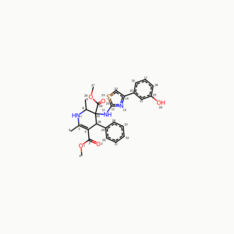 COC(=O)C1=C(C)NC(C)C(Nc2nc(-c3cccc(O)c3)cs2)(C(=O)OC)C1c1ccccc1